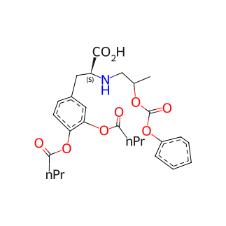 CCCC(=O)Oc1ccc(C[C@H](NCC(C)OC(=O)Oc2ccccc2)C(=O)O)cc1OC(=O)CCC